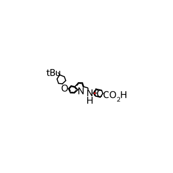 CC(C)(C)[C@H]1CC[C@H](Oc2ccc3nc(CNC45CCC(C(=O)O)(CC4)CC5)ccc3c2)CC1